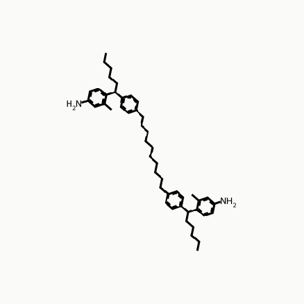 CCCCCC(c1ccc(CCCCCCCCCCc2ccc(C(CCCCC)c3ccc(N)cc3C)cc2)cc1)c1ccc(N)cc1C